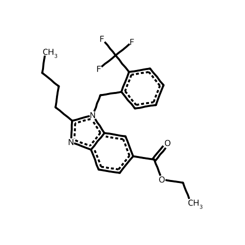 CCCCc1nc2ccc(C(=O)OCC)cc2n1Cc1ccccc1C(F)(F)F